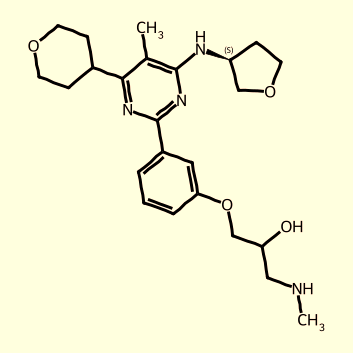 CNCC(O)COc1cccc(-c2nc(N[C@H]3CCOC3)c(C)c(C3CCOCC3)n2)c1